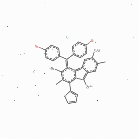 Cc1cc2c(cc1C(C)(C)C)=c1c(c(C3=CC=CC3)c(C)c(C(C)(C)C)c1=C(c1ccc(Br)cc1)c1ccc(Br)cc1)[C]=2[Zr+2].[Cl-].[Cl-]